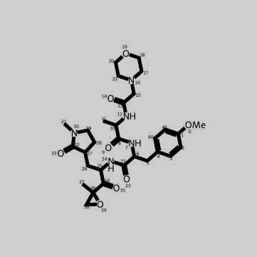 COc1ccc(CC(NC(=O)C(C)NC(=O)CN2CCOCC2)C(=O)NC(CC2CCN(C)C2=O)C(=O)C2(C)CO2)cc1